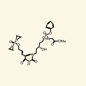 COC(=O)CNP(=O)(OCC[C@@H](O)CCn1cc(/C=C/COP(=O)(N2CC2)N2CC2)c(=O)[nH]c1=O)Oc1ccccc1